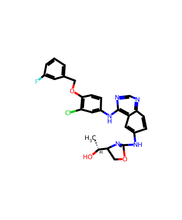 C[C@@H](O)C1COC(Nc2ccc3ncnc(Nc4ccc(OCc5cccc(F)c5)c(Cl)c4)c3c2)=N1